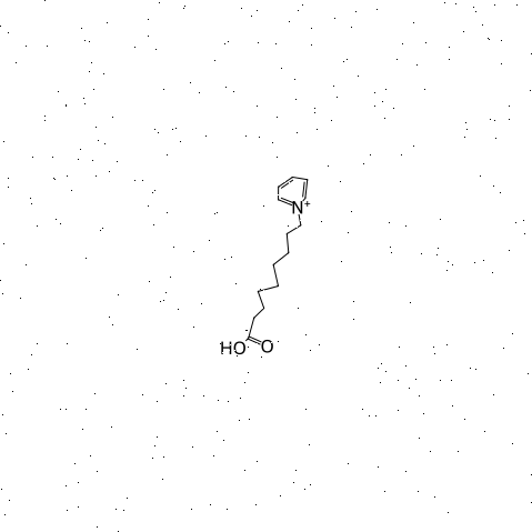 O=C(O)CCCCCCCC[n+]1ccccc1